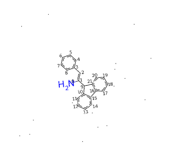 NC(=Cc1ccccc1)C1c2ccccc2-c2ccccc21